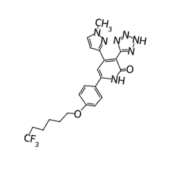 Cn1ccc(-c2cc(-c3ccc(OCCCCCC(F)(F)F)cc3)[nH]c(=O)c2-c2nn[nH]n2)n1